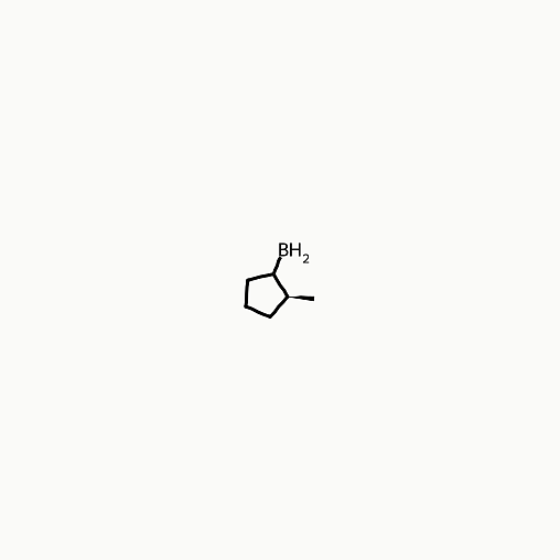 BC1CCC[C@@H]1C